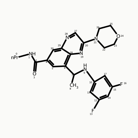 CCCNC(=O)c1cc(C(C)Nc2cc(F)cc(F)c2)c2nc(N3CCOCC3)cnc2c1